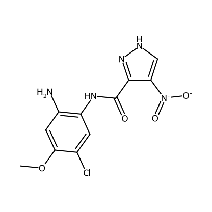 COc1cc(N)c(NC(=O)c2n[nH]cc2[N+](=O)[O-])cc1Cl